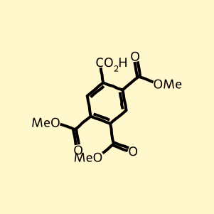 COC(=O)c1cc(C(=O)OC)c(C(=O)OC)cc1C(=O)O